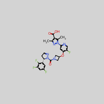 Cc1nn(-c2cc(OC3CN(C(=O)N4N=CC[C@H]4c4cc(F)cc(F)c4F)C3)c(F)cn2)c(C)c1C(=O)O